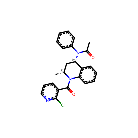 CC(=O)N(c1ccccc1)[C@H]1C[C@@H](C)N(C(=O)c2cccnc2Cl)c2ccccc21